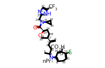 C=C(CCC(C)N(CCC)C1=CCC=C(F)C(C(=O)O)=C1)[C@@H]1CC[C@H](C(=O)N(Cc2ncc(C(F)(F)F)[nH]2)C2CC2)OC1